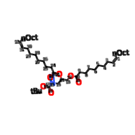 CCCCCCCC/C=C\CCCCCCCC(=O)OCC(CNC(=O)OC(C)(C)C)OC(=O)CCCCCCC/C=C\CCCCCCCC